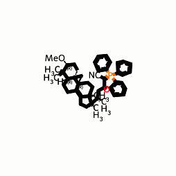 CO[C@@H]1CC[C@]23C[C@]24CC[C@@]2(C)C(=C4CC[C@H]3C1(C)C)CC[C@@]2(C)[C@H](C)CC(=O)C(C#N)=P(c1ccccc1)(c1ccccc1)c1ccccc1